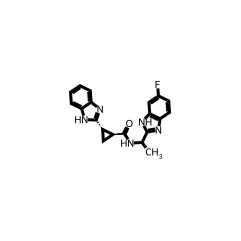 CC(NC(=O)[C@H]1C[C@@H]1c1nc2ccccc2[nH]1)c1nc2ccc(F)cc2[nH]1